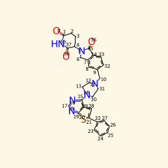 O=C1CCC(N2Cc3cc(CN4CCN(c5ncnc6sc(-c7ccccc7)cc56)CC4)ccc3C2=O)C(=O)N1